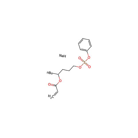 C=CC(=O)OC(CCCC)CCCOS(=O)(=O)Oc1ccccc1.[NaH]